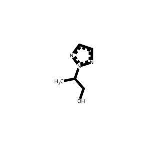 CC(CO)n1nccn1